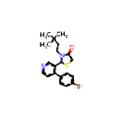 CC(C)(C)CCN1C(=O)CSC1c1cnccc1-c1ccc(Br)cc1